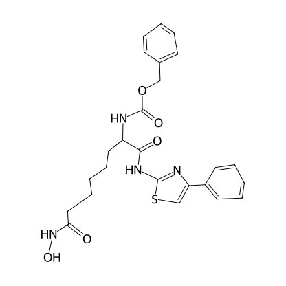 O=C(CCCCCC(NC(=O)OCc1ccccc1)C(=O)Nc1nc(-c2ccccc2)cs1)NO